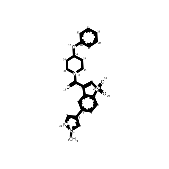 Cn1cc(-c2ccc3c(c2)C(C(=O)N2CCC(Oc4ccccc4)CC2)=CS3(=O)=O)cn1